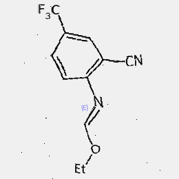 CCO/C=N/c1ccc(C(F)(F)F)cc1C#N